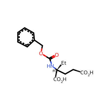 CC[C@](CCC(=O)O)(NC(=O)OCc1ccccc1)C(=O)O